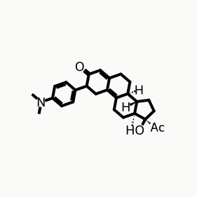 CC(=O)[C@@]1(O)CC[C@H]2[C@@H]3CCC4=CC(=O)C(c5ccc(N(C)C)cc5)CC4=C3CC[C@@]21C